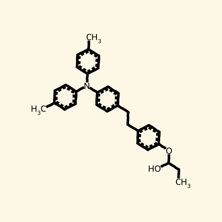 CCC(O)Oc1ccc(CCc2ccc(N(c3ccc(C)cc3)c3ccc(C)cc3)cc2)cc1